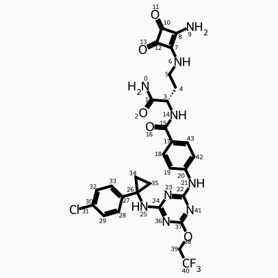 NC(=O)[C@H](CCNc1c(N)c(=O)c1=O)NC(=O)c1ccc(Nc2nc(NC3(c4ccc(Cl)cc4)CC3)nc(OCC(F)(F)F)n2)cc1